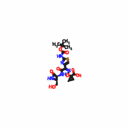 CC(C)(C)OC(=O)Nc1nc(C(=NOC2(C(=O)O)CC2)C(=O)N[C@@H]2C(=O)N[C@@H]2CO)cs1